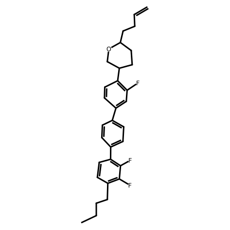 C=CCCC1CCC(c2ccc(-c3ccc(-c4ccc(CCCC)c(F)c4F)cc3)cc2F)CO1